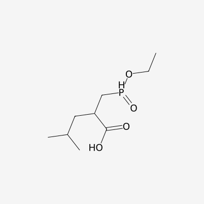 CCO[PH](=O)CC(CC(C)C)C(=O)O